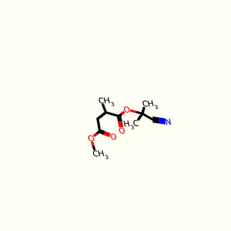 COC(=O)CC(C)C(=O)OC(C)(C)C#N